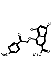 COC(=O)c1cc(OCC(=O)c2ccc(OC)cc2)c2c(Cl)cc(Cl)cc2c1